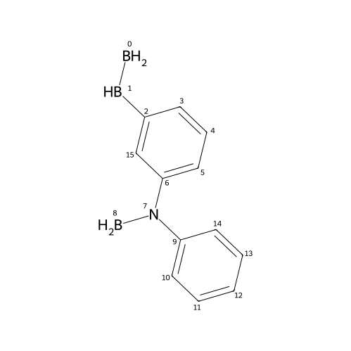 BBc1cccc(N(B)c2ccccc2)c1